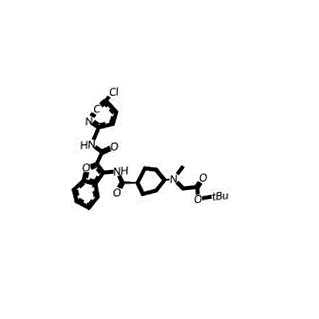 CN(CC(=O)OC(C)(C)C)[C@H]1CC[C@H](C(=O)Nc2c(C(=O)Nc3ccc(Cl)cn3)oc3ccccc23)CC1